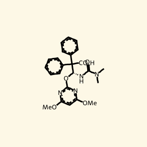 COc1cc(OC)nc(O[C@@H](NC(=O)N(C)C)C(C(=O)O)(c2ccccc2)c2ccccc2)n1